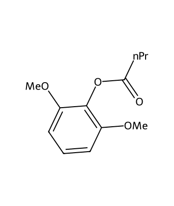 CCCC(=O)Oc1c(OC)cccc1OC